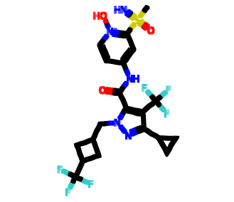 CS(=N)(=O)c1cc(NC(=O)c2c(C(F)(F)F)c(C3CC3)nn2CC2CC(C(F)(F)F)C2)cc[n+]1O